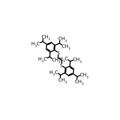 CC(C)c1cc(C(C)C)c(SCCSc2c(C(C)C)cc(C(C)C)cc2C(C)C)c(C(C)C)c1